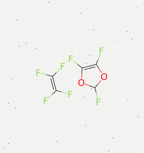 FC(F)=C(F)F.FC1=C(F)OC(F)O1